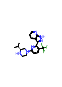 CC(C)[C@H]1CN(c2ccc(C(F)(F)F)c(-c3n[nH]c4ncccc34)n2)CCN1